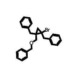 BrC1(Cc2ccccc2)CC1(COCc1ccccc1)Cc1ccccc1